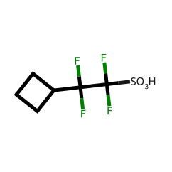 O=S(=O)(O)C(F)(F)C(F)(F)C1CCC1